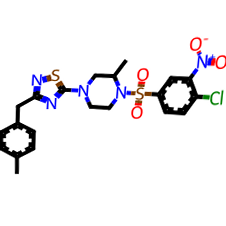 Cc1ccc(Cc2nsc(N3CCN(S(=O)(=O)c4ccc(Cl)c([N+](=O)[O-])c4)C(C)C3)n2)cc1